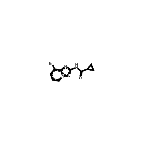 O=C(Nc1nc2c(Br)cccn2n1)C1CC1